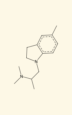 Cc1ccc2c(c1)CCN2CC(C)N(C)C